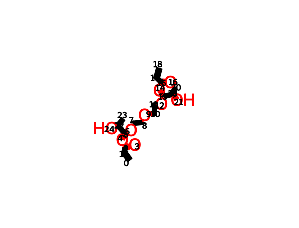 C=CC(=O)OC(OCCOCCOC(OC(=O)C=C)C(C)O)C(C)O